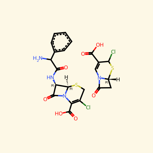 NC(C(=O)N[C@@H]1C(=O)N2C(C(=O)O)=C(Cl)CS[C@H]12)c1ccccc1.O=C(O)C1=CN2C(=O)C[C@H]2SC1Cl